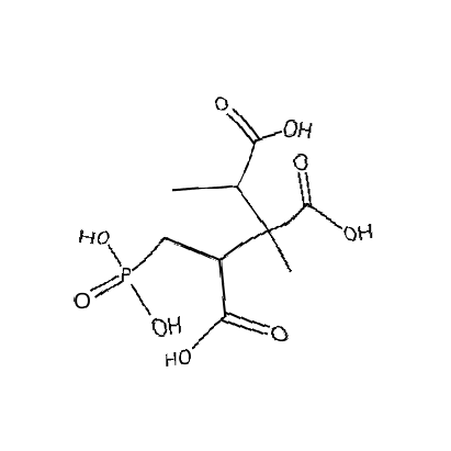 CC(C(=O)O)C(C)(C(=O)O)C(CP(=O)(O)O)C(=O)O